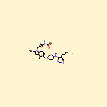 CCC(=O)NC12CC(Cn3c(C#N)cc4c(C)c(CN5CCC(Nc6ncncc6CCCC(F)(F)F)CC5)ccc43)(C1)C2